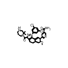 COc1cc2c(cc1-c1cncc(C(N)=O)c1)-c1c(c(C(=O)N3CCCNCC3(C)C)nn1-c1cc(Cl)cc(Cl)c1)CC2